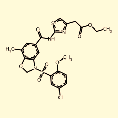 CCOC(=O)Cc1csc(NC(=O)c2cc(C)c3c(c2)N(S(=O)(=O)c2cc(Cl)ccc2OC)CO3)n1